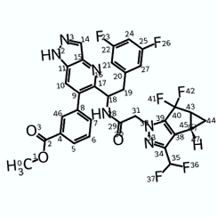 COC(=O)c1cccc(-c2cc3[nH]ncc3nc2C(Cc2cc(F)cc(F)c2)NC(=O)Cn2nc(C(F)F)c3c2C(F)(F)C2C[C@H]32)c1